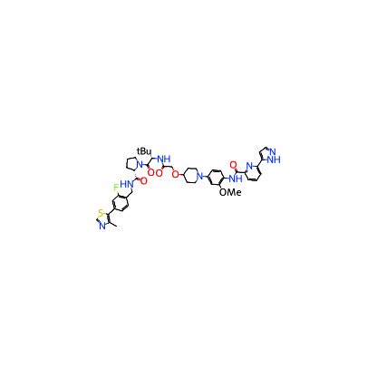 COc1cc(N2CCC(OCC(=O)N[C@H](C(=O)N3CCC[C@H]3C(=O)NCc3ccc(-c4scnc4C)cc3F)C(C)(C)C)CC2)ccc1NC(=O)c1cccc(-c2ccn[nH]2)n1